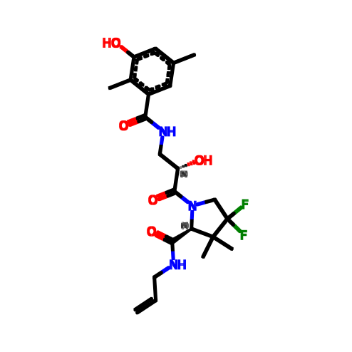 C=CCNC(=O)[C@H]1N(C(=O)[C@@H](O)CNC(=O)c2cc(C)cc(O)c2C)CC(F)(F)C1(C)C